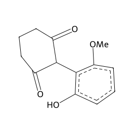 COc1cccc(O)c1C1C(=O)CCCC1=O